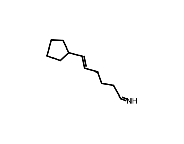 N=CCCC/C=C/C1CCCC1